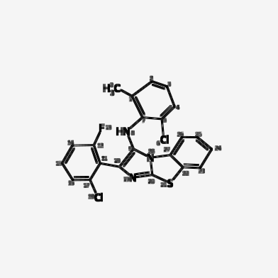 Cc1cccc(Cl)c1Nc1c(-c2c(F)cccc2Cl)nc2sc3ccccc3n12